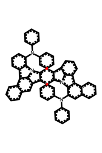 c1ccc(N(c2ccccc2)c2cc3ccccc3c3c4cccc5c6nc7c(nc6n(c23)c54)c2cc3ccccc3c3c4cccc(N(c5ccccc5)c5ccccc5)c4n7c23)cc1